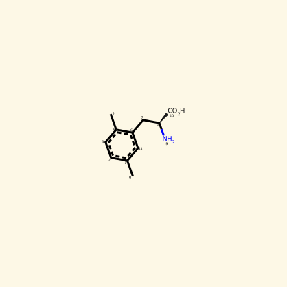 Cc1ccc(C)c(C[C@H](N)C(=O)O)c1